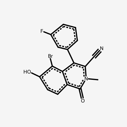 Cn1c(C#N)c(-c2cccc(F)c2)c2c(Br)c(O)ccc2c1=O